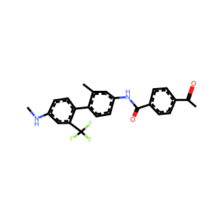 CNc1ccc(-c2ccc(NC(=O)c3ccc(C(C)=O)cc3)cc2C)c(C(F)(F)F)c1